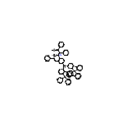 N=C(/C(=C1\NC(c2ccccc2)=Cc2cc(N(c3ccc4c(c3)C3(c5ccccc5-c5ccccc53)c3ccccc3-4)c3cccc4c3-c3ccccc3C4(c3ccccc3)c3ccccc3)ccc21)c1ccccc1)c1ccccc1